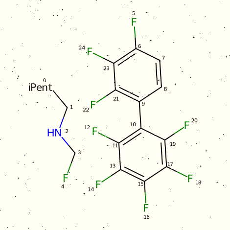 CCCC(C)CNCF.Fc1ccc(-c2c(F)c(F)c(F)c(F)c2F)c(F)c1F